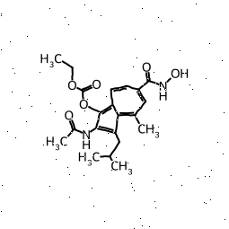 CCOC(=O)Oc1c2ccc(C(=O)NO)cc(C)c-2c(CC(C)C)c1NC(C)=O